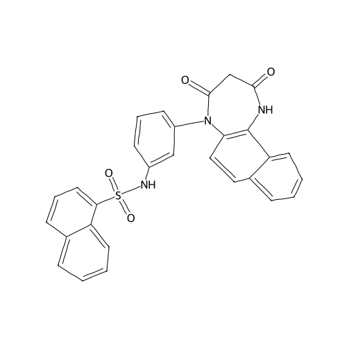 O=C1CC(=O)N(c2cccc(NS(=O)(=O)c3cccc4ccccc34)c2)c2ccc3ccccc3c2N1